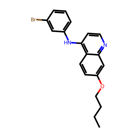 CCCCOc1ccc2c(Nc3cccc(Br)c3)ccnc2c1